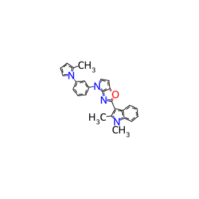 Cc1cccn1-c1cccc(-n2ccc3oc(-c4c(C)n(C)c5ccccc45)nc32)c1